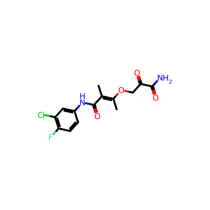 C/C(OCC(=O)C(N)=O)=C(/C)C(=O)Nc1ccc(F)c(Cl)c1